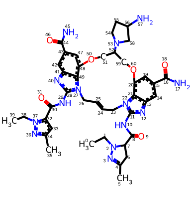 CCN1N=C(C)CC1C(=O)Nc1nc2cc(C(N)=O)cc3c2n1C/C=C/Cn1c(NC(=O)c2cc(C)nn2CC)nc2cc(C(N)=O)cc(c21)OCC(N1CCC(N)C1)CO3